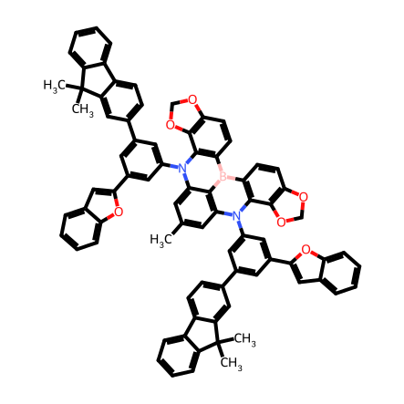 Cc1cc2c3c(c1)N(c1cc(-c4ccc5c(c4)C(C)(C)c4ccccc4-5)cc(-c4cc5ccccc5o4)c1)c1c(ccc4c1OCO4)B3c1ccc3c(c1N2c1cc(-c2ccc4c(c2)C(C)(C)c2ccccc2-4)cc(-c2cc4ccccc4o2)c1)OCO3